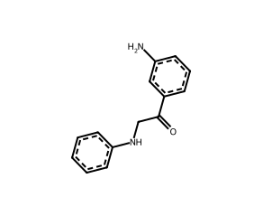 Nc1cccc(C(=O)CNc2ccccc2)c1